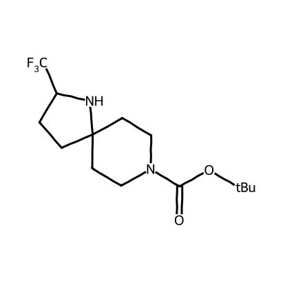 CC(C)(C)OC(=O)N1CCC2(CCC(C(F)(F)F)N2)CC1